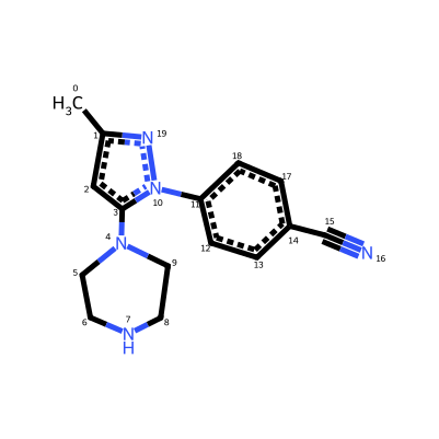 Cc1cc(N2CCNCC2)n(-c2ccc(C#N)cc2)n1